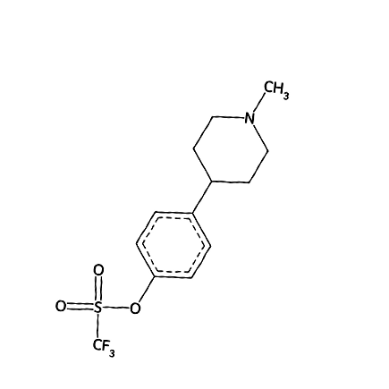 CN1CCC(c2ccc(OS(=O)(=O)C(F)(F)F)cc2)CC1